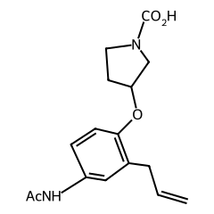 C=CCc1cc(NC(C)=O)ccc1OC1CCN(C(=O)O)C1